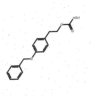 CCCCCCCCC(=O)OCCc1ccc(OCc2ccccc2)cc1